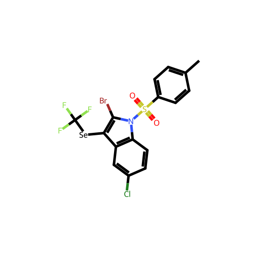 Cc1ccc(S(=O)(=O)n2c(Br)c([Se]C(F)(F)F)c3cc(Cl)ccc32)cc1